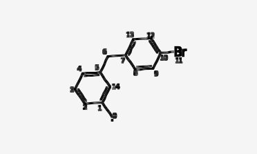 [CH2]c1cccc(Cc2ccc(Br)cc2)c1